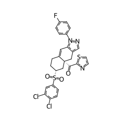 O=C(c1nccs1)[C@@]12Cc3cnn(-c4ccc(F)cc4)c3C=C1CC[C@@H](S(=O)(=O)c1ccc(Cl)c(Cl)c1)C2